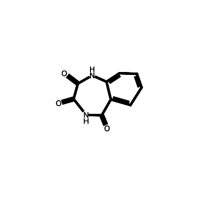 O=c1[nH]c(=O)c2ccccc2[nH]c1=O